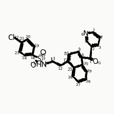 O=C(c1cccnc1)c1ccc(CCNS(=O)(=O)c2ccc(Cl)cc2)c2ccccc12